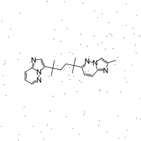 Cc1cn2nc(C(C)(C)CCC(C)(C)c3cnc4cccnn34)ccc2n1